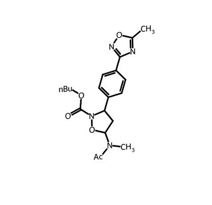 CCCCOC(=O)N1OC(N(C)C(C)=O)CC1c1ccc(-c2noc(C)n2)cc1